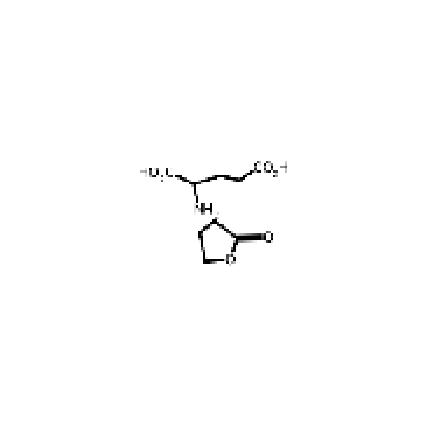 NC(CCC(=O)O)C(=O)O.O=C1CCCO1